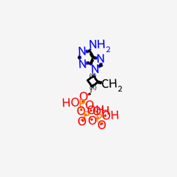 C=C1[C@H](COP(=O)(O)OP(=O)(O)OP(=O)(O)O)C[C@@H]1n1cnc2c(N)ncnc21